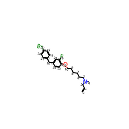 C=CCN(C)CCCCCCOc1ccc(Cc2ccc(Br)cc2)cc1F